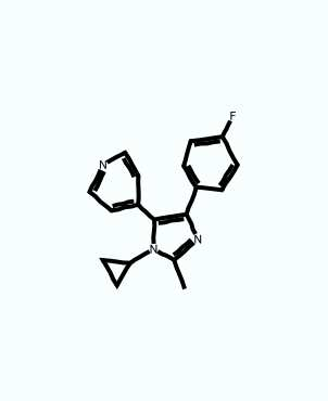 Cc1nc(-c2ccc(F)cc2)c(-c2ccncc2)n1C1CC1